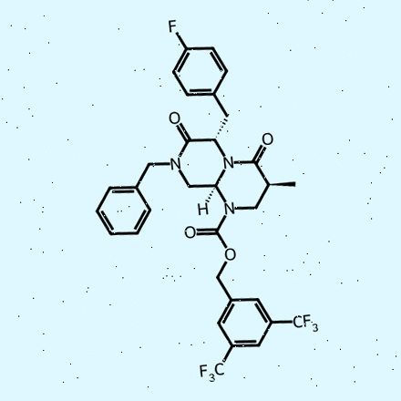 C[C@H]1CN(C(=O)OCc2cc(C(F)(F)F)cc(C(F)(F)F)c2)[C@H]2CN(Cc3ccccc3)C(=O)[C@H](Cc3ccc(F)cc3)N2C1=O